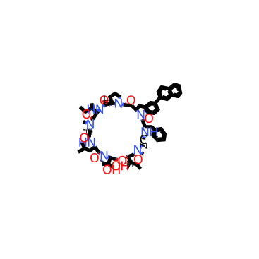 CCC(C)C1NC(=O)[C@@H]2CCCN2C2OC2C(Cc2cccc(-c3ccc4ccccc4c3)c2)N(C)C(=O)C(Cc2ccccc2)NC[C@H](C)N(C)C(=O)C([C@H](C)CC)OC(O)C(C(C)(C)O)N(C)C(=O)C(CC(C)C)NC(=O)[C@H](C)N(C)C1=O